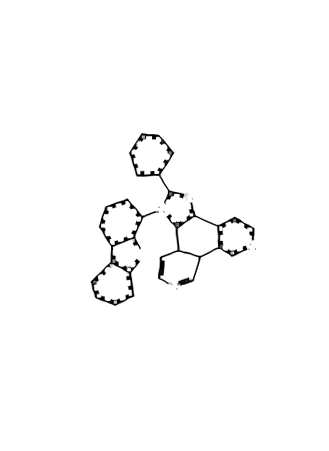 C1=CC2c3c(nc(-c4ccccc4)n3-c3cccc4c3sc3ccccc34)-c3ccncc3C2C=N1